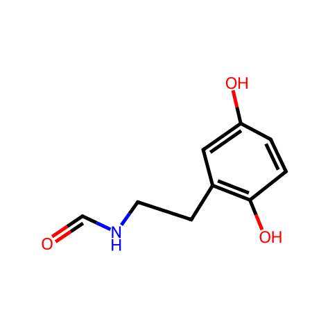 O=CNCCc1cc(O)ccc1O